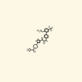 C[C@@H](NC(=O)c1cc(C2CCN(C(=O)C3COC3)CC2)no1)c1ccc(-c2cc(C(F)(F)F)ccc2CN)cc1